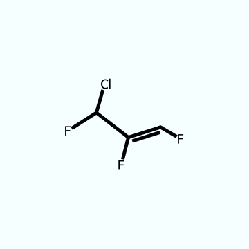 FC=C(F)C(F)Cl